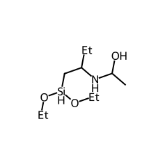 CCO[SiH](CC(CC)NC(C)O)OCC